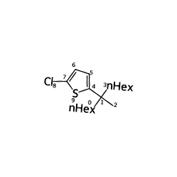 CCCCCCC(C)(CCCCCC)c1ccc(Cl)s1